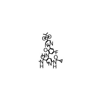 CNC(=O)c1cnc(NC(=O)C2CC2)cc1Nc1cc(F)cc(-c2ncc(S(=O)(=O)C(C)C)cn2)c1OC